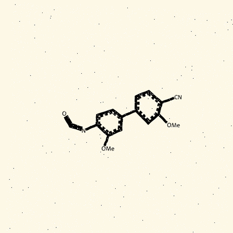 COc1cc(-c2ccc(N=C=O)c(OC)c2)ccc1C#N